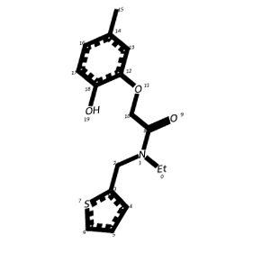 CCN(Cc1cccs1)C(=O)COc1cc(C)ccc1O